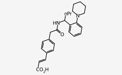 CCCC(NC(=O)Cc1ccc(C=CC(=O)O)cc1)c1ccccc1N1CCCCC1